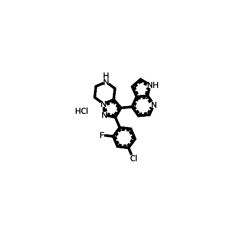 Cl.Fc1cc(Cl)ccc1-c1nn2c(c1-c1ccnc3[nH]ccc13)CNCC2